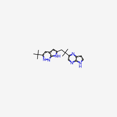 CC(C)(C)c1cc2cc(CC(C)(C)c3cnc4[nH]ccc4n3)[nH]c2nn1